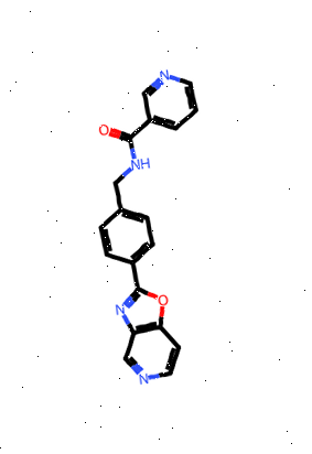 O=C(NCc1ccc(-c2nc3cnccc3o2)cc1)c1cccnc1